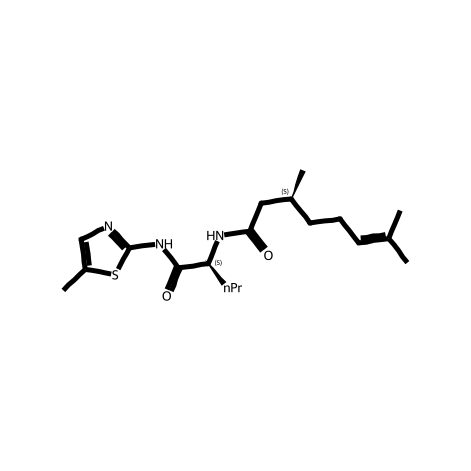 CCC[C@H](NC(=O)C[C@@H](C)CCC=C(C)C)C(=O)Nc1ncc(C)s1